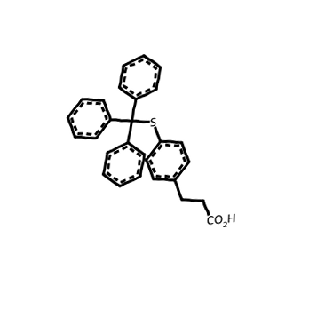 O=C(O)CCc1ccc(SC(c2ccccc2)(c2ccccc2)c2ccccc2)cc1